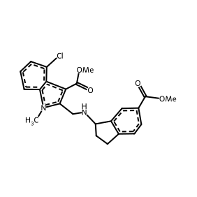 COC(=O)c1ccc2c(c1)C(NCc1c(C(=O)OC)c3c(Cl)cccc3n1C)CC2